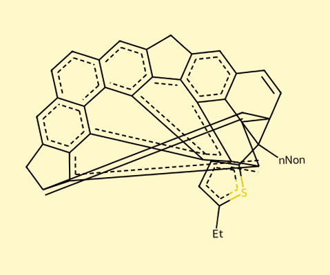 CCCCCCCCCC1(c2ccc(CC)s2)C23C=Cc4cc5c6c7c4C21c1c2c4c(cc8ccc9cc(c6c6c9c8c4c6c17)C5)CC2=C3